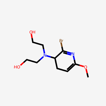 COC1=CCC(N(CCO)CCO)C(Br)=N1